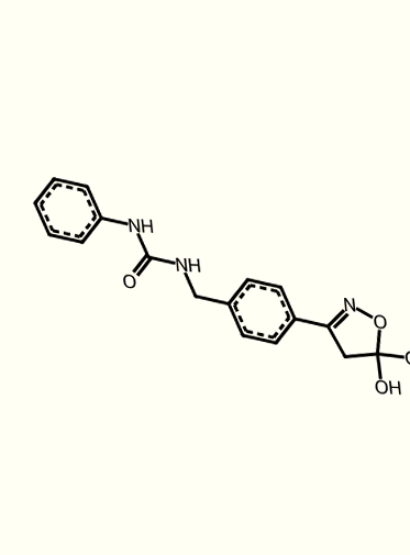 O=C(NCc1ccc(C2=NOC(O)(C(F)(F)F)C2)cc1)Nc1ccccc1